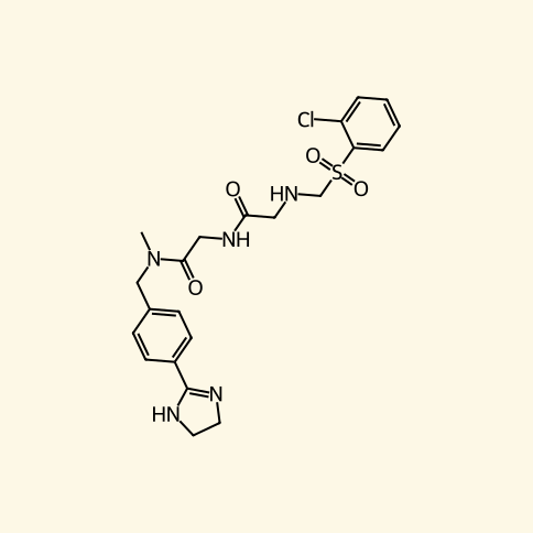 CN(Cc1ccc(C2=NCCN2)cc1)C(=O)CNC(=O)CNCS(=O)(=O)c1ccccc1Cl